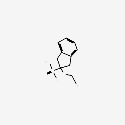 CC(C)CNC1(P(=O)(O)O)Cc2ccccc2C1